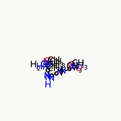 C=C(N[C@H](C)c1ccc(-c2n[nH]c3ncc(-c4ccc(N5CCN(CCc6ccc(N(CCC=O)C(=O)NC)c(C)c6)CC5)cc4)cc23)cc1C)c1noc(C(C)(C)C)n1